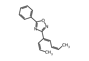 C\C=C/C=C(\C=C/C)c1noc(-c2ccccc2)n1